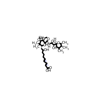 C=C1C[C@](O)([C@H](O)C(=O)N[C@H]2OCO[C@H]3[C@@H]2O[C@H](C[C@H](O)CCC/C=C/C=C/C(=O)O)C(C)(C)[C@@H]3OC)O[C@H](C)[C@@H]1C